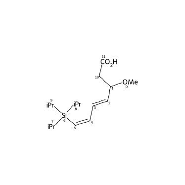 COC(C=C/C=C\[Si](C(C)C)(C(C)C)C(C)C)CC(=O)O